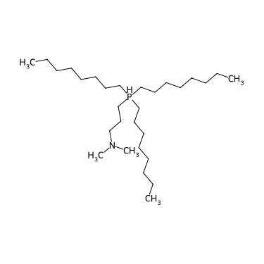 CCCCCCCC[PH](CCCCCCCC)(CCCCCCCC)CCCN(C)C